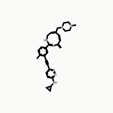 C=C1/C=C\C(CN2CCN(C)CC2)=C/CN/C(c2ccc(C)c(C#Cc3ccc(NC4CC4)nn3)c2)=N\1